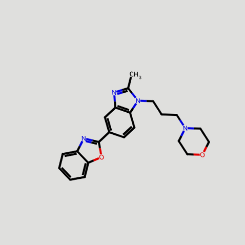 Cc1nc2cc(-c3nc4ccccc4o3)ccc2n1CCCN1CCOCC1